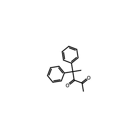 CC(=O)C(=O)C(C)(c1ccccc1)c1ccccc1